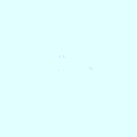 C[C@H](NP(=O)(Oc1ccccc1)Oc1ccccc1C#N)C(=O)OCc1ccccc1